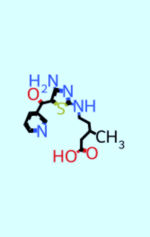 CC(CCNc1nc(N)c(C(=O)c2cccnc2)s1)CC(=O)O